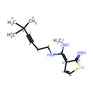 CN/C(NCCC#CC(C)(C)C)=C1/C=CSC1=N